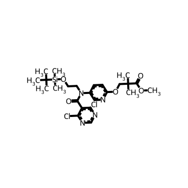 COC(=O)C(C)(C)COc1ccc(N(CCO[Si](C)(C)C(C)(C)C)C(=O)c2c(Cl)ncnc2Cl)cn1